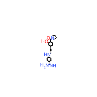 N=C(N)c1ccc(NCC#Cc2ccc(C(=O)N3CCCC3)c(O)c2)cc1